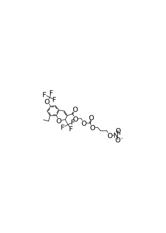 CCc1cc(OC(F)(F)F)cc2c1OC(C(F)(F)F)C(C(=O)OCOC(=O)OCCCO[N+](=O)[O-])=C2